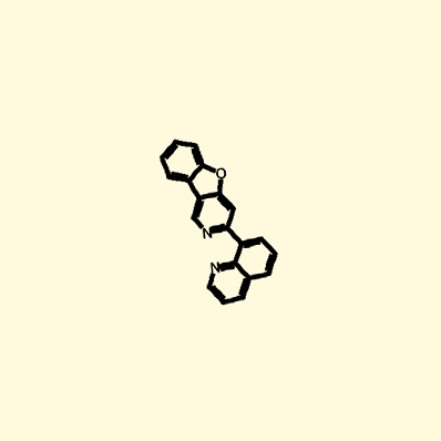 c1cnc2c(-c3cc4oc5ccccc5c4cn3)cccc2c1